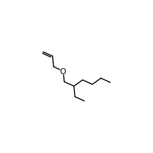 C=CCOCC(CC)CCCC